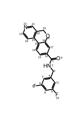 O=C(NCc1cc(F)cc(F)c1)c1ccc2c(c1)OCc1cnccc1-2